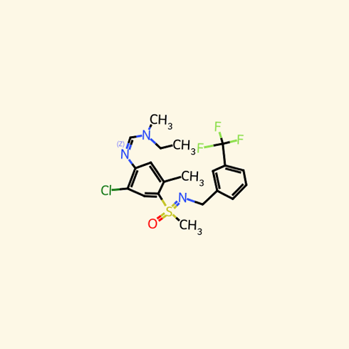 CCN(C)/C=N\c1cc(C)c(S(C)(=O)=NCc2cccc(C(F)(F)F)c2)cc1Cl